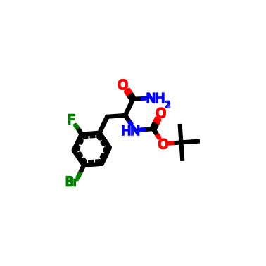 CC(C)(C)OC(=O)NC(Cc1ccc(Br)cc1F)C(N)=O